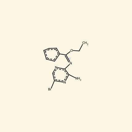 CCO/C(=N/c1ncc(Br)nc1N)c1ccccc1